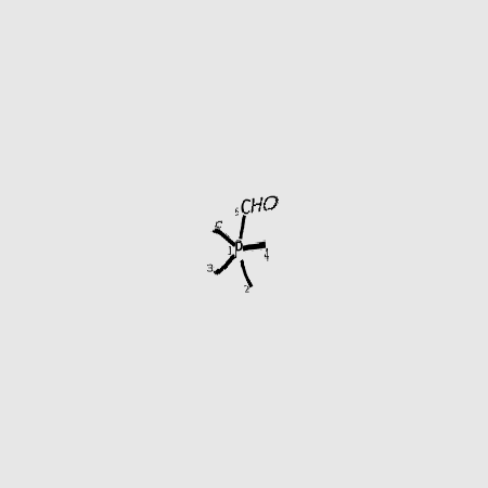 CP(C)(C)(C)C=O